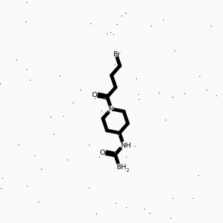 BC(=O)NC1CCN(C(=O)CCCBr)CC1